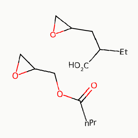 CCC(CC1CO1)C(=O)O.CCCC(=O)OCC1CO1